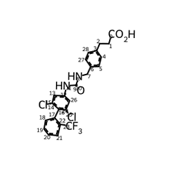 O=C(O)CCc1ccc(CNC(=O)Nc2cc(Cl)c(-c3ccccc3C(F)(F)F)c(Cl)c2)cc1